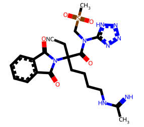 CC(=N)NCCCCC(CC#N)(C(=O)N(CS(C)(=O)=O)c1nnn[nH]1)N1C(=O)c2ccccc2C1=O